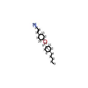 CCCCC[C@H]1CC[C@H](CO[C@H]2CC[C@H](C=CC#N)CC2)CC1